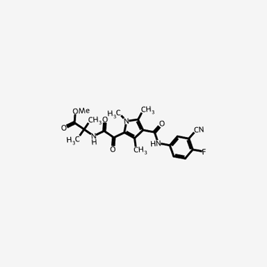 COC(=O)C(C)(C)NC(=O)C(=O)c1c(C)c(C(=O)Nc2ccc(F)c(C#N)c2)c(C)n1C